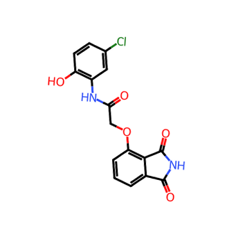 O=C(COc1cccc2c1C(=O)NC2=O)Nc1cc(Cl)ccc1O